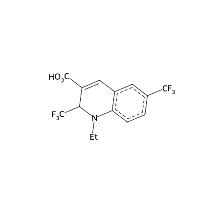 CCN1c2ccc(C(F)(F)F)cc2C=C(C(=O)O)C1C(F)(F)F